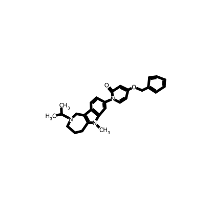 CC(C)N1CCCc2c(c3ccc(-n4ccc(OCc5ccccc5)cc4=O)cc3n2C)C1